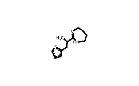 CC(Cc1cccs1)C1=NCCCCN1